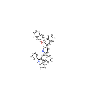 c1ccc(-c2nc3ccccc3c3c2cc(-c2ccc(-c4cc5ccccc5c5c4oc4cc6ccccc6cc45)cn2)c2ccccc23)cc1